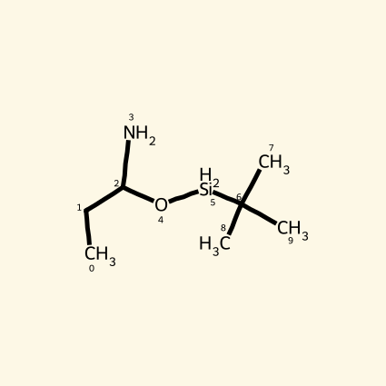 CCC(N)O[SiH2]C(C)(C)C